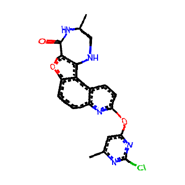 Cc1cc(Oc2ccc3c(ccc4oc5c(c43)NCC(C)NC5=O)n2)nc(Cl)n1